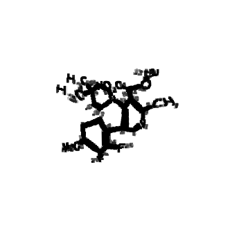 COc1ccc(-c2cnc(C)c([C@H](OC(C)(C)C)C(=O)O)c2N2CCC(C)(C)CC2)c(F)c1F